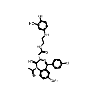 COc1ccc2c(c1)C(c1ccc(Cl)cc1)=N[C@@H](CC(=O)NCCNc1ccc(O)c(O)c1)C(=N)N2C(C)=N